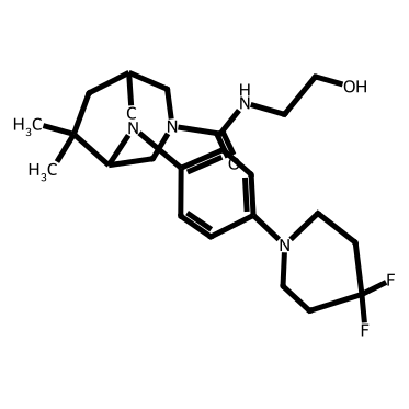 CC1(C)CC2CN(C(=O)NCCO)CC1N(c1ccc(N3CCC(F)(F)CC3)cc1)C2